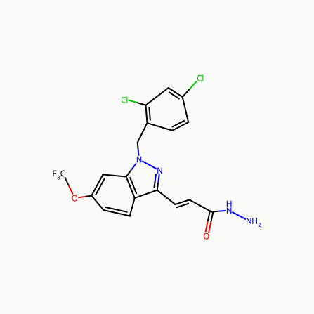 NNC(=O)C=Cc1nn(Cc2ccc(Cl)cc2Cl)c2cc(OC(F)(F)F)ccc12